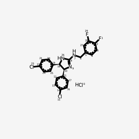 Cl.Fc1ccc(CNC2=N[C@@H](c3ccc(Cl)cc3)[C@@H](c3ccc(Cl)cc3)N2)cc1F